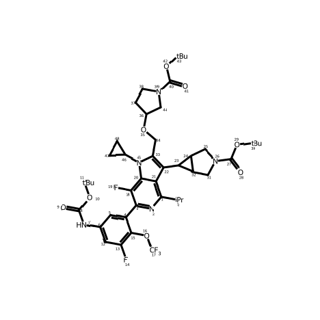 CC(C)c1nc(-c2cc(NC(=O)OC(C)(C)C)cc(F)c2OC(F)(F)F)c(F)c2c1c(C1C3CN(C(=O)OC(C)(C)C)CC31)c(COC1CCN(C(=O)OC(C)(C)C)C1)n2C1CC1